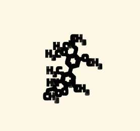 CCC(=O)Nc1c(C)c(-c2cc(OC)c(CN(C)C)c(OC)c2)cn(C)c1=O